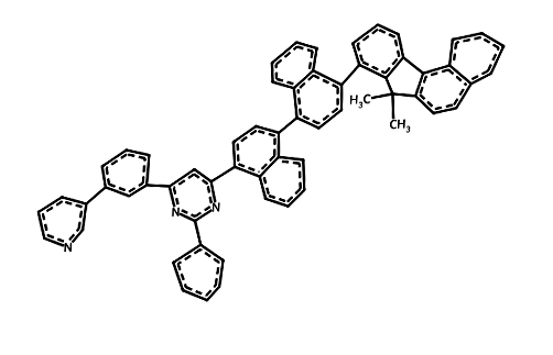 CC1(C)c2ccc3ccccc3c2-c2cccc(-c3ccc(-c4ccc(-c5cc(-c6cccc(-c7cccnc7)c6)nc(-c6ccccc6)n5)c5ccccc45)c4ccccc34)c21